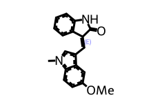 COc1ccc2c(c1)c(/C=C1/C(=O)Nc3ccccc31)cn2C